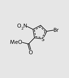 COC(=O)c1sc(Br)cc1[N+](=O)[O-]